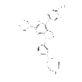 Nc1ncc(-c2nc(N3CCOCC3)nc3c2CCN3c2ccnc(N3CCCC(O)CC3)c2)cn1